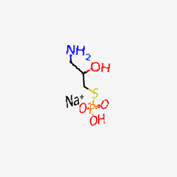 NCC(O)CSP(=O)([O-])O.[Na+]